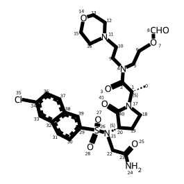 C[C@@H](C(=O)N(CCOC=O)CCN1CCOCC1)N1CC[C@H](N(CC(N)=O)S(=O)(=O)c2ccc3cc(Cl)ccc3c2)C1=O